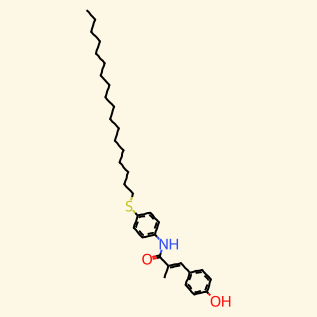 CCCCCCCCCCCCCCCCCCSc1ccc(NC(=O)C(C)=Cc2ccc(O)cc2)cc1